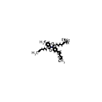 CC#CCCCCN1C(=O)/C(=C2/C(=O)N(CCCCC#C[Si](CC)(CC)CC)c3cc(-c4ccc(-c5ccc(C)s5)s4)ccc32)c2ccc(C)cc21